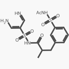 CC(=O)NS(=O)(=O)c1cccc(CC(C)C(=O)NS(=O)(=O)/C(C=N)=C/N)c1